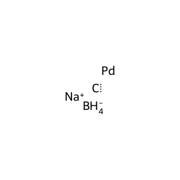 [BH4-].[C].[Na+].[Pd]